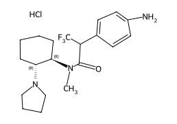 CN(C(=O)C(c1ccc(N)cc1)C(F)(F)F)[C@@H]1CCCC[C@H]1N1CCCC1.Cl